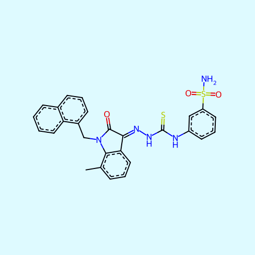 Cc1cccc2c1N(Cc1cccc3ccccc13)C(=O)C2=NNC(=S)Nc1cccc(S(N)(=O)=O)c1